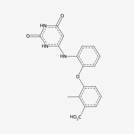 Cc1c(Oc2ccccc2Nc2cc(=O)[nH]c(=O)[nH]2)cccc1C(=O)O